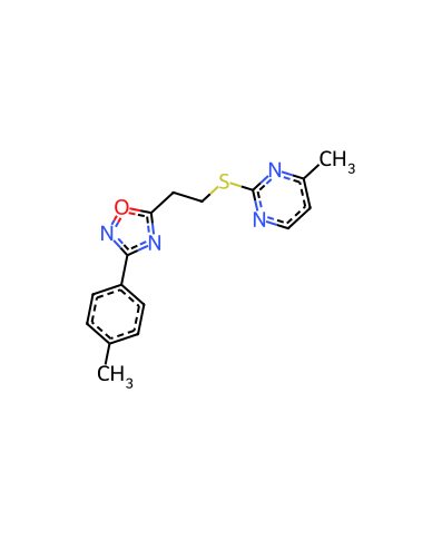 Cc1ccc(-c2noc(CCSc3nccc(C)n3)n2)cc1